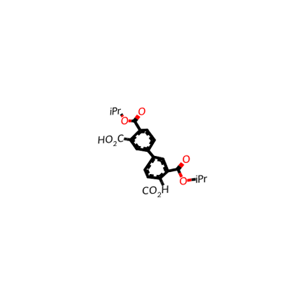 CC(C)OC(=O)c1ccc(-c2ccc(C(=O)O)c(C(=O)OC(C)C)c2)cc1C(=O)O